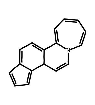 C1=CC=C2C3=CC=C4C=CC=C4C3C=CN2C=C1